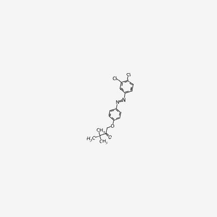 CC(C)(C)C(=O)COc1ccc(N=Nc2ccc(Cl)c(Cl)c2)cc1